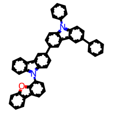 c1ccc(-c2ccc3c(c2)c2cc(-c4ccc5c(c4)c4ccccc4n5-c4cccc5c4oc4ccccc45)ccc2n3-c2ccccc2)cc1